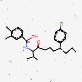 CCCC(CCCC(=O)C(N[C@H](O)c1ccc(C)c(C)c1)C(C)C)c1ccc(Cl)cc1